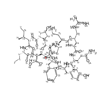 CCC[C@H](NC(=O)[C@@H](NC(=O)[C@@H]1C[C@@H](O)CN1C(=O)[C@@H]1CCCN1C(=O)[C@H](Cc1ccccc1)NC(=O)[C@H](Cc1ccc(O)cc1)NC(=O)[C@H](CCC(N)=O)NC(=O)[C@H](CCCNC(=N)N)NC(=O)[C@@H](N)CCN)[C@@H](C)CC)C(=O)N[C@@H](CCC(=O)O)C(=O)O